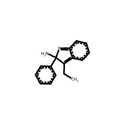 CCC1=c2ccccc2=NC1(N)c1ccccc1